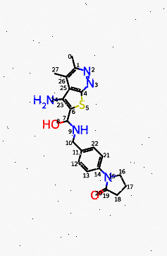 Cc1nnc2sc(C(O)NCc3ccc(N4CCCC4=O)cc3)c(N)c2c1C